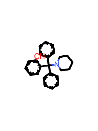 Oc1ccccc1C(c1ccccc1)(c1ccccc1)N1CCCCC1